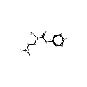 CCN(CCN(C)C)C(=O)Cc1ccccc1